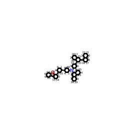 c1cc(-c2ccc(N(c3ccc(-c4cc(-c5cccc6ccccc56)cc5ccccc45)cc3)c3cc4ccccc4c4ccccc34)cc2)cc(-c2cccc3c2oc2ccccc23)c1